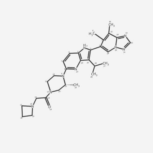 Cc1c(-c2[nH]c3ccc(N4CCN(C(=O)CN5CCC5)C[C@H]4C)nc3c2C(C)C)cn2ncnc2c1C